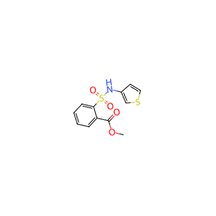 COC(=O)c1ccccc1S(=O)(=O)Nc1ccsc1